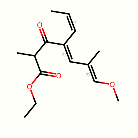 C\C=C/C(=C\C(C)=C\OC)C(=O)C(C)C(=O)OCC